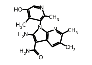 Cc1cc2c(C(N)=O)c(N)n(-c3c(C)ncc(O)c3C)c2nc1C